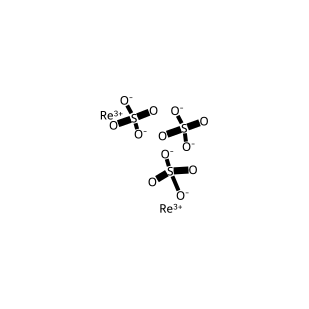 O=S(=O)([O-])[O-].O=S(=O)([O-])[O-].O=S(=O)([O-])[O-].[Re+3].[Re+3]